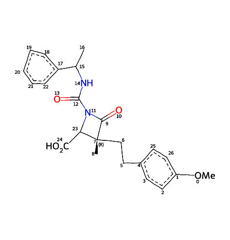 COc1ccc(CC[C@@]2(C)C(=O)N(C(=O)NC(C)c3ccccc3)C2C(=O)O)cc1